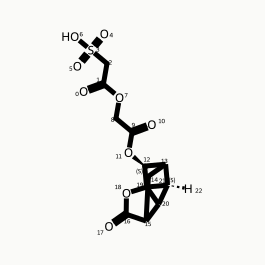 O=C(CS(=O)(=O)O)OCC(=O)O[C@H]1C2CC3C(=O)OC14C3[C@H]24